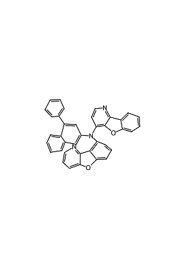 c1ccc(-c2cc(N(c3ccnc4c3oc3ccccc34)c3cccc4oc5cccnc5c34)cc3ccccc23)cc1